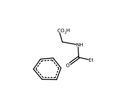 CCC(=O)NCC(=O)O.c1ccccc1